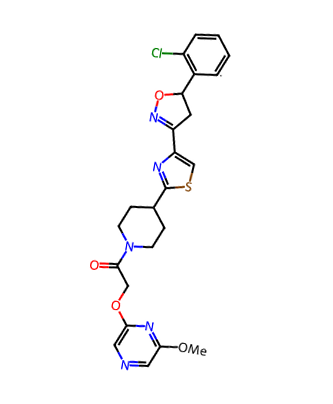 COc1cncc(OCC(=O)N2CCC(c3nc(C4=NOC(c5[c]cccc5Cl)C4)cs3)CC2)n1